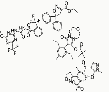 CCOC(=O)C1=NOC(c2ccccc2)(c2ccccc2)C1.CCc1cc(C)cc(CC)c1-c1c(OC(=O)C(C)(C)C)n2n(c1=O)CCOCC2.COc1nc(NC(=O)NS(=O)(=O)c2ccccc2C(F)(F)F)nc(C(F)(F)F)n1.Cc1c(C(=O)c2cnn(C)c2O)ccc(S(C)(=O)=O)c1C1=NOCC1